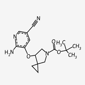 CC(C)(C)OC(=O)N1CC(Oc2cc(C#N)cnc2N)C2(CC2)C1